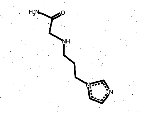 NC(=O)CNCCCn1ccnc1